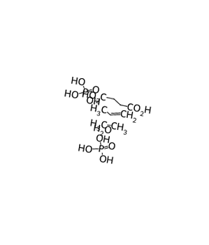 C=CC.CC.O.O=C(O)CCC(=O)O.O=P(O)(O)O.O=P(O)(O)O